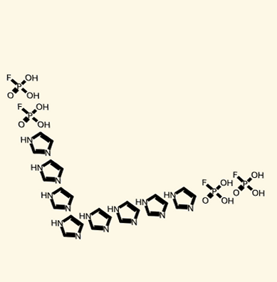 O=P(O)(O)F.O=P(O)(O)F.O=P(O)(O)F.O=P(O)(O)F.c1c[nH]cn1.c1c[nH]cn1.c1c[nH]cn1.c1c[nH]cn1.c1c[nH]cn1.c1c[nH]cn1.c1c[nH]cn1.c1c[nH]cn1